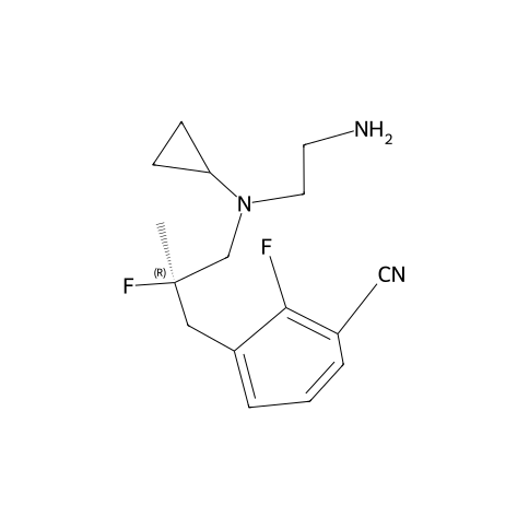 C[C@@](F)(Cc1cccc(C#N)c1F)CN(CCN)C1CC1